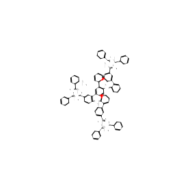 N#Cc1ccccc1-c1cc(-c2cc(-c3nc(-c4ccccc4)nc(-c4ccccc4)n3)ccc2-n2c3ccccc3c3cc(-c4nc(-c5ccccc5)nc(-c5ccccc5)n4)ccc32)ccc1-n1c2ccccc2c2cc(-c3nc(-c4ccccc4)nc(-c4ccccc4)n3)ccc21